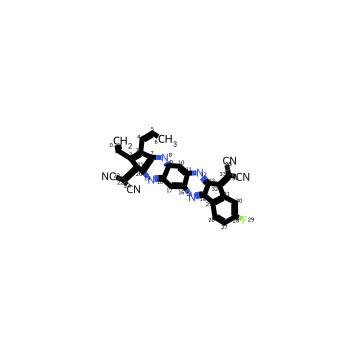 C=CC1=C(/C=C\C)c2nc3cc4nc5c(nc4cc3nc2C1=C(C#N)C#N)-c1ccc(F)cc1C5=C(C#N)C#N